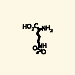 CS(=O)(=O)NCCCC(N)C(=O)O